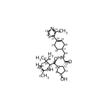 CC(=O)NC(C(=O)N1C[C@H](O)C[C@H]1C(=O)NCC1CC=C(c2scnc2C)CC1)C(C)(C)C